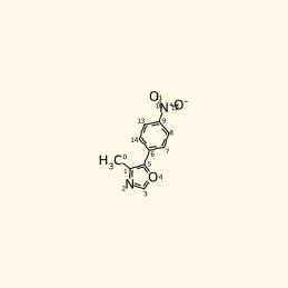 Cc1ncoc1-c1ccc([N+](=O)[O-])cc1